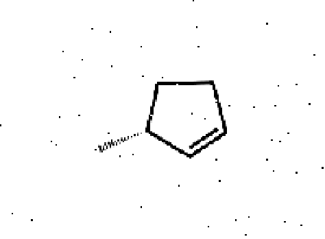 C[C@H]1C=CCC1